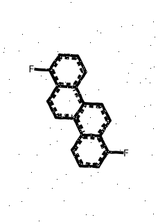 Fc1cccc2c1ccc1c3cccc(F)c3ccc21